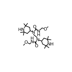 COCNC(=O)N(CCN(C(=O)NCOC)C1CC(C)(C)NC(C)(C)C1)C1CC(C)(C)NC(C)(C)C1